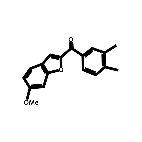 COc1ccc2cc(C(=O)c3ccc(C)c(C)c3)oc2c1